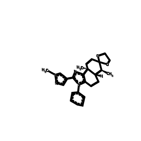 C[C@H]1[C@@H]2CCc3c(nc(-c4cnn(C)c4)n3-c3ccccc3)[C@@]2(C)CCC12OCCO2